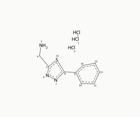 Cl.Cl.Cl.NCc1nnc(-c2ccccc2)s1